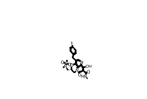 CNC(=O)c1c(O)c2ncc(Cc3ccc(F)cc3)c3c2n(c1=O)C[C@H](CN(C)S(C)(=O)=O)O3